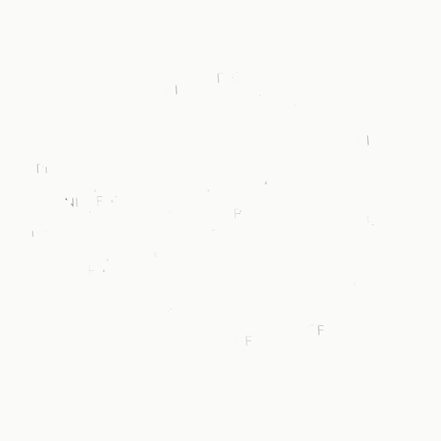 CC(C)[NH2+]C(C)C.FC(F)(F)c1cc([B-](c2cc(C(F)(F)F)cc(C(F)(F)F)c2)(c2cc(C(F)(F)F)cc(C(F)(F)F)c2)c2cc(C(F)(F)F)cc(C(F)(F)F)c2)cc(C(F)(F)F)c1